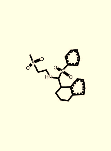 CS(=O)(=O)CCNC(C1CCCc2ccccc21)S(=O)(=O)c1ccccc1